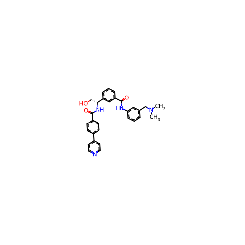 CN(C)Cc1cccc(NC(=O)c2cccc([C@@H](CO)NC(=O)c3ccc(-c4ccncc4)cc3)c2)c1